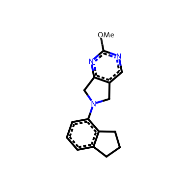 COc1ncc2c(n1)CN(c1cccc3c1CCC3)C2